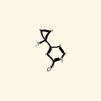 FC1(c2[c]c(Cl)ncc2)CC1